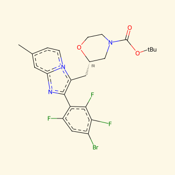 Cc1ccn2c(C[C@H]3CN(C(=O)OC(C)(C)C)CCO3)c(-c3c(F)cc(Br)c(F)c3F)nc2c1